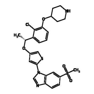 C[C@@H](Oc1csc(-n2cnc3ccc(S(C)(=O)=O)cc32)c1)c1cccc(OC2CCNCC2)c1Cl